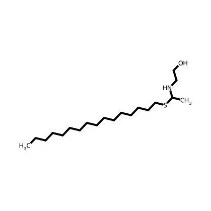 CCCCCCCCCCCCCCCCSC(C)NCCO